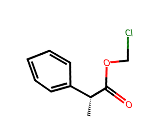 C[C@@H](C(=O)OCCl)c1ccccc1